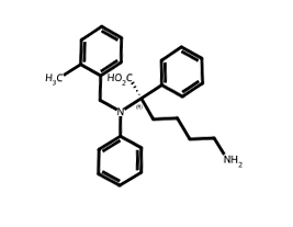 Cc1ccccc1CN(c1ccccc1)[C@@](CCCCN)(C(=O)O)c1ccccc1